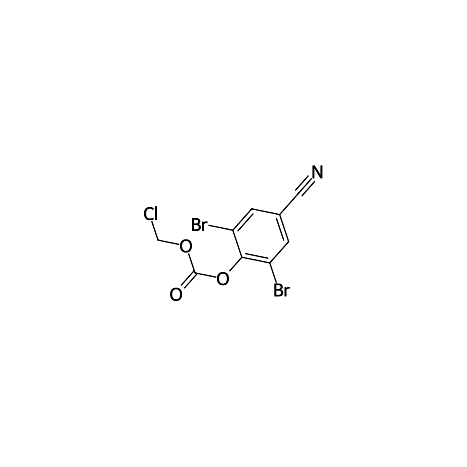 N#Cc1cc(Br)c(OC(=O)OCCl)c(Br)c1